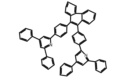 c1ccc(-c2cc(-c3ccccc3)nc(-c3ccc(-c4c(-c5ccc(-c6cc(-c7ccccc7)cc(-c7ccccc7)n6)cc5)c5ccccc5c5ccccc45)cc3)c2)cc1